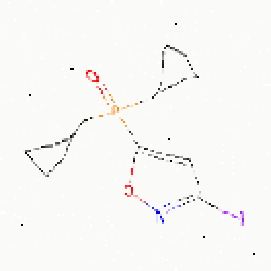 O=P(c1cc(I)no1)(C1CC1)C1CC1